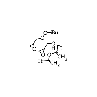 C=C(CC)OC(=C)CC.CCC(C)OOCC1CO1.OCC1CO1